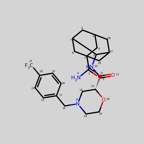 NC(=O)C12CC3CC(C1)C(NC(=O)[C@H]1CN(Cc4ccc(C(F)(F)F)cc4)CCO1)C(C3)C2